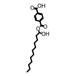 CCCCCCCCCCCC(O)OC(=O)c1ccc(C(=O)O)cc1